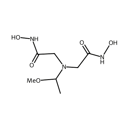 COC(C)N(CC(=O)NO)CC(=O)NO